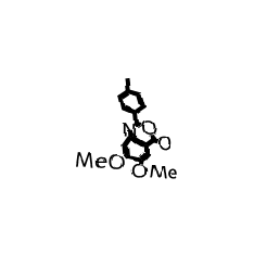 COc1cc2nc(-c3ccc(C)cc3)oc(=O)c2cc1OC